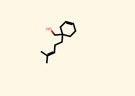 CC(C)=CCCC1(CO)CC=CCC1